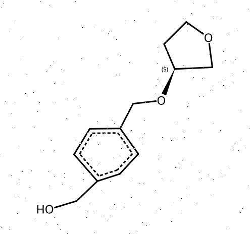 OCc1ccc(CO[C@H]2CCOC2)cc1